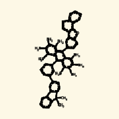 Bc1c(B)c(B)c2c(-c3ccc4oc5c6ccccc6ccc5c4c3)c3c(B)c(B)c(B)c(B)c3c(-c3cccc(-c4ccc5c(c4)-c4ccccc4C5(C)C)c3)c2c1B